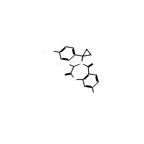 CC1C(=O)Nc2cc(Cl)ccc2C(=O)N1C1(c2ccc(C(=O)O)cc2)CC1